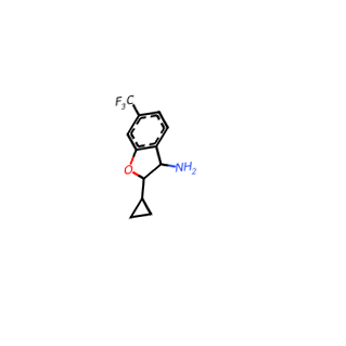 NC1c2ccc(C(F)(F)F)cc2OC1C1CC1